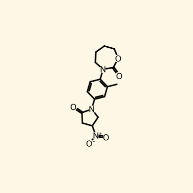 Cc1cc(N2CC([N+](=O)[O-])CC2=O)ccc1N1CCCCOC1=O